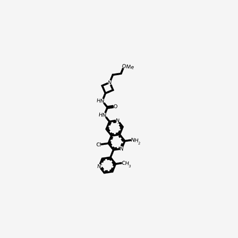 COCCN1CC(NC(=O)Nc2cc3c(Cl)c(-c4cnccc4C)nc(N)c3cn2)C1